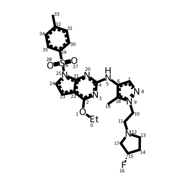 CCOc1nc(Nc2cnn(CCN3CC[C@H](F)C3)c2C)nc2c1ccn2S(=O)(=O)c1ccc(C)cc1